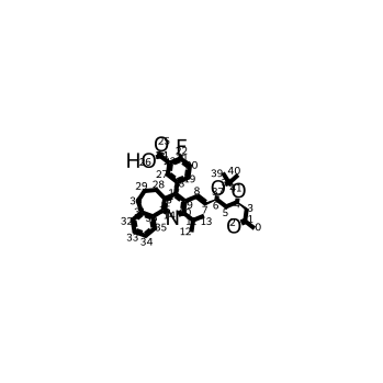 CC(=O)C[C@H]1C[C@@H](/C=C/c2c(C(C)C)nc3c(c2-c2ccc(F)c(C(=O)O)c2)CCCc2ccccc2-3)OC(C)(C)O1